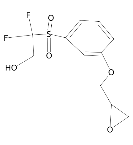 O=S(=O)(c1cccc(OCC2CO2)c1)C(F)(F)CO